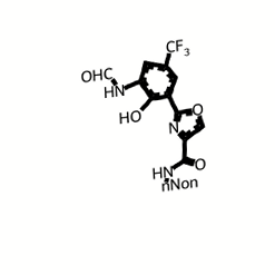 CCCCCCCCCNC(=O)c1coc(-c2cc(C(F)(F)F)cc(NC=O)c2O)n1